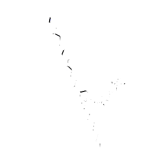 CCCCC/C=C/C/C=C/C/C=C/C/C=C/CCCC(=O)O[C@H](COCCCCCCCCCCCCCCCC)COP(=O)(O)OCC[N+](C)(C)C